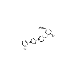 COc1ccc(Br)c(CC2CCN(C3CCN(c4cccc(C#N)c4)CC3)CC2)c1